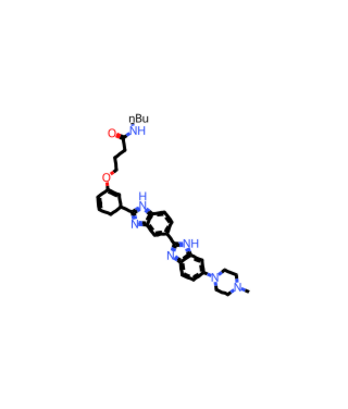 CCCCNC(=O)CCCOC1=CC(c2nc3cc(-c4nc5ccc(N6CCN(C)CC6)cc5[nH]4)ccc3[nH]2)CC=C1